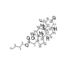 CCCCOC(=O)C[C@]1(O)CC[C@H]2[C@@H]3CC[C@H]4CC(=O)C[C@H](C)[C@]4(C)[C@H]3CC[C@@]21C